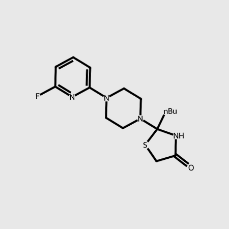 CCCCC1(N2CCN(c3cccc(F)n3)CC2)NC(=O)CS1